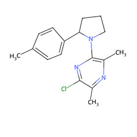 Cc1ccc(C2CCCN2c2nc(Cl)c(C)nc2C)cc1